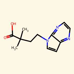 CC(C)(CCn1ccc2nccnc21)C(=O)O